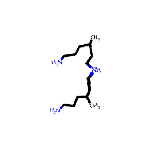 CC(CCCN)CCNCCC(C)CCCN